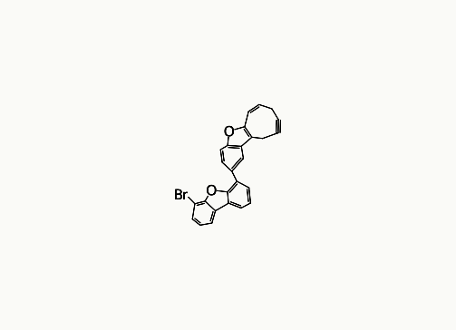 Brc1cccc2c1oc1c(-c3ccc4oc5c(c4c3)CC#CC/C=C\5)cccc12